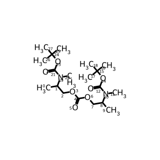 CC(COC(=O)OCC(C)N(C)C(=O)OC(C)(C)C)N(C)C(=O)OC(C)(C)C